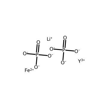 O=P([O-])([O-])[O-].O=P([O-])([O-])[O-].[Fe+2].[Li+].[Y+3]